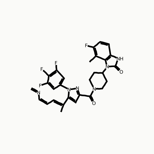 C=N/C=C\C=C(/C)c1cc(C(=O)N2CCC(n3c(=O)[nH]c4ccc(F)c(C)c43)CC2)nn1-c1cc(F)c(F)c(F)c1